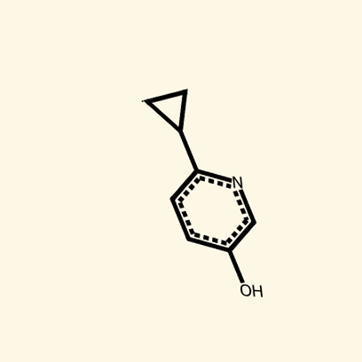 Oc1ccc(C2[CH]C2)nc1